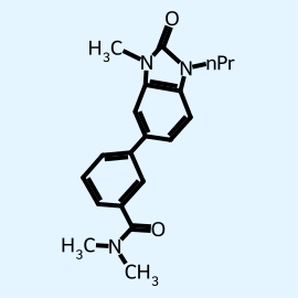 CCCn1c(=O)n(C)c2cc(-c3cccc(C(=O)N(C)C)c3)ccc21